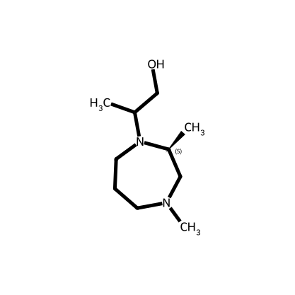 CC(CO)N1CCCN(C)C[C@@H]1C